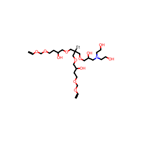 C=COCOCCC(O)COCC(CC)(COCC(O)CCOCOC=C)COCC(O)CN(CCO)CCO